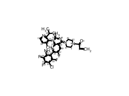 C=CC(=O)N1CCN(c2nc(=O)n(-c3c(C)ccnc3C(C)C)c3nc(-c4c(N)c(F)c(F)c(Cl)c4F)c(F)cc23)CC1